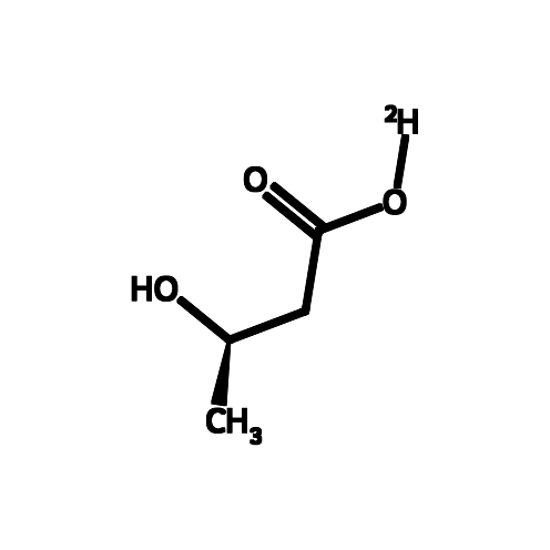 [2H]OC(=O)C[C@@H](C)O